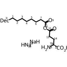 CCCCCCCCCCCCCCCCCC(=O)OC(=O)CC[C@H](N)C(=O)O.[NaH].[NaH]